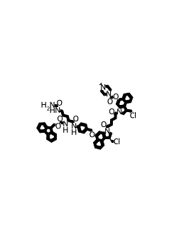 CN1CCN(C(=O)Oc2cc3c(c4ccccc24)C(CCl)CN3C(=O)CCCC(=O)N2C[C@@H](CCl)c3c2cc(OCc2ccc(NC(=O)C(CCCNC(N)=O)NC(=O)OCC4c5ccccc5-c5ccccc54)cc2)c2ccccc32)CC1